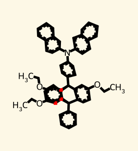 CCOc1ccc2c(c1)C1(c3ccccc3)c3ccc(OCC)cc3C2(c2ccc(N(c3ccc4ccccc4c3)c3ccc4ccccc4c3)cc2)c2cc(OCC)ccc21